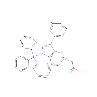 O=C(O)Cc1ccc2c(n1)c(-c1cccc(F)c1)nn2C(c1ccccc1)(c1ccccc1)c1ccccc1